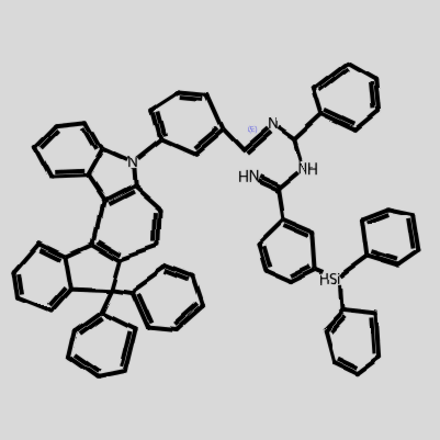 N=C(NC(/N=C/c1cccc(-n2c3ccccc3c3c4c(ccc32)C(c2ccccc2)(c2ccccc2)c2ccccc2-4)c1)c1ccccc1)c1cccc([SiH](c2ccccc2)c2ccccc2)c1